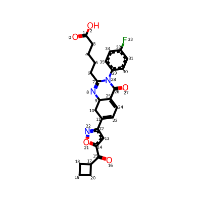 O=C(O)CCCCC1=NC2CC(c3cc(C(=O)C4CCC4)on3)=CC=C2C(=O)N1c1ccc(F)cc1